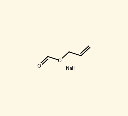 C=CCOC=O.[NaH]